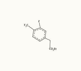 CCOC(=O)Cc1ccc(C(F)(F)F)c(F)c1